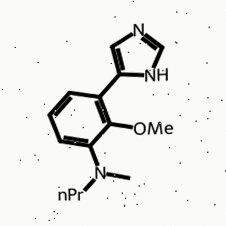 CCCN(C)c1cccc(-c2cnc[nH]2)c1OC